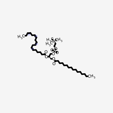 CC/C=C\C/C=C\C/C=C\C/C=C\CCCCC(=O)O[C@H](COC(=O)CCCCCCCCCCCCCCC)COP(=O)([O-])OCC[N+](C)(C)C